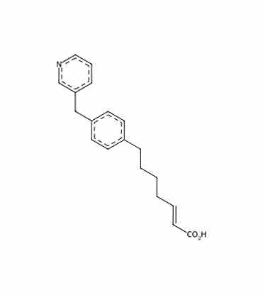 O=C(O)C=CCCCCc1ccc(Cc2cccnc2)cc1